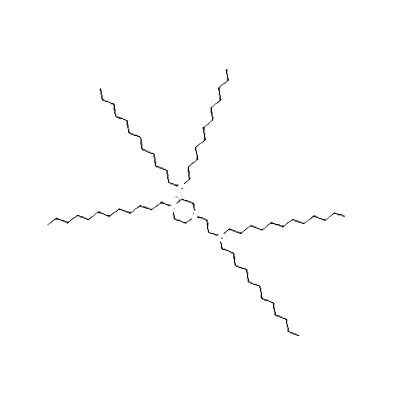 CCCCCCCCCCCCN(CCCCCCCCCCCC)CCN1CCN(CCCCCCCCCCCC)[C@@H](N(CCCCCCCCCCCC)CCCCCCCCCCCC)C1